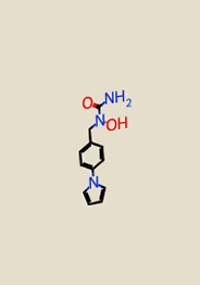 NC(=O)N(O)Cc1ccc(-n2cccc2)cc1